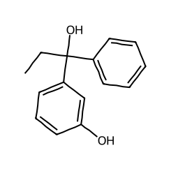 CCC(O)(c1ccccc1)c1cccc(O)c1